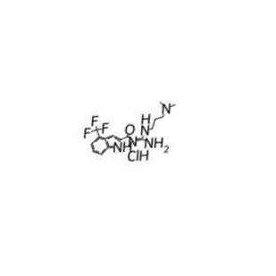 CN(C)CCCNC(N)=NC(=O)c1cc2c(C(F)(F)F)cccc2[nH]1.Cl